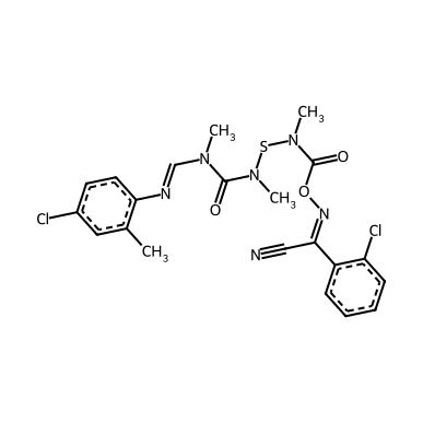 Cc1cc(Cl)ccc1N=CN(C)C(=O)N(C)SN(C)C(=O)ON=C(C#N)c1ccccc1Cl